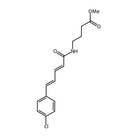 COC(=O)CCCNC(=O)/C=C/C=C/c1ccc(Cl)cc1